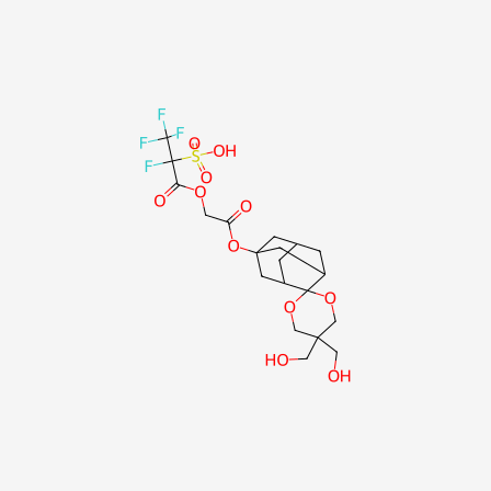 O=C(COC(=O)C(F)(C(F)(F)F)S(=O)(=O)O)OC12CC3CC(C1)C1(OCC(CO)(CO)CO1)C(C3)C2